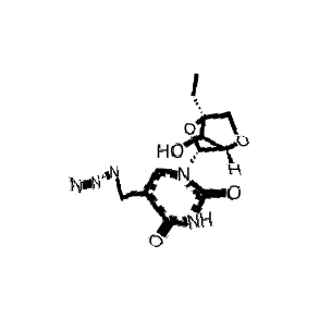 CC[C@]12CO[C@@H](C1O)[C@H](n1cc(CN=[N+]=[N-])c(=O)[nH]c1=O)O2